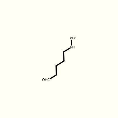 CCCNCCCCC=O